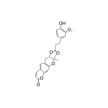 COc1cc(CCC(=O)OC2Cc3cc4ccc(=O)oc4cc3OC2(C)C)ccc1O